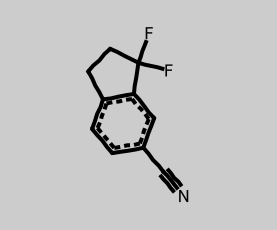 N#Cc1ccc2c(c1)C(F)(F)CC2